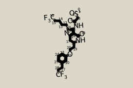 C[S+]([O-])CC(=O)Nc1c2c(nn1CCCCC(F)(F)F)CC(CCOc1cccc(CCC(F)(F)F)c1)NC2=O